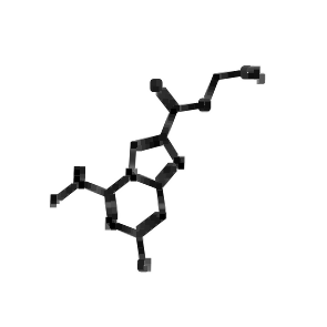 CCOC(=O)c1cn2c(NF)nc(Cl)cc2n1